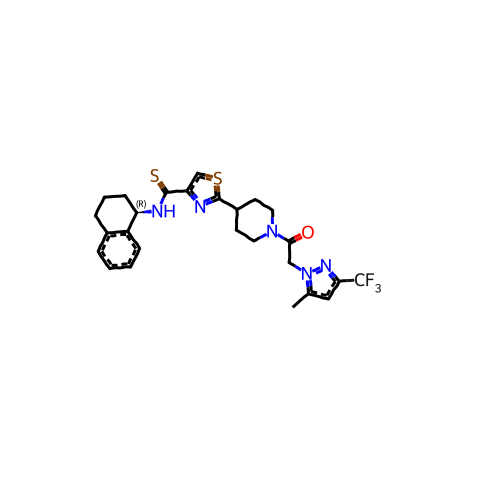 Cc1cc(C(F)(F)F)nn1CC(=O)N1CCC(c2nc(C(=S)N[C@@H]3CCCc4ccccc43)cs2)CC1